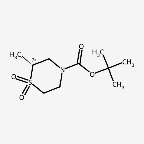 C[C@@H]1CN(C(=O)OC(C)(C)C)CCS1(=O)=O